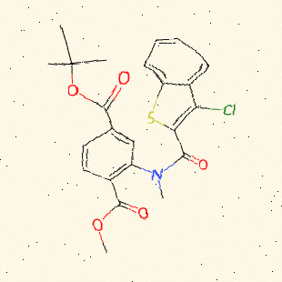 COC(=O)c1ccc(C(=O)OC(C)(C)C)cc1N(C)C(=O)c1sc2ccccc2c1Cl